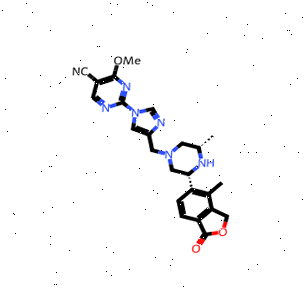 COc1nc(-n2cnc(CN3C[C@@H](c4ccc5c(c4C)COC5=O)N[C@@H](C)C3)c2)ncc1C#N